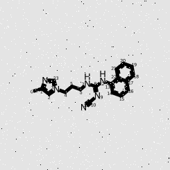 Cc1cn(CCCNC(=NC#N)Nc2cccc3ccccc23)cn1